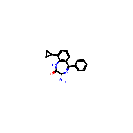 N[C@H]1N=C(c2ccccc2)c2cccc(C3CC3)c2NC1=O